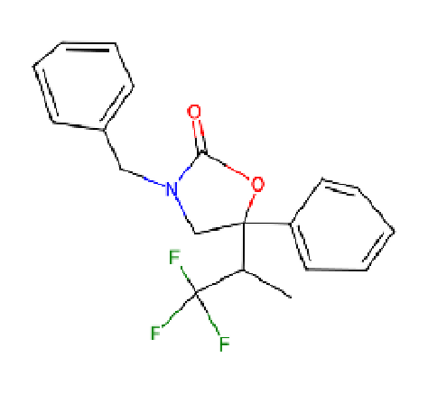 CC(C(F)(F)F)C1(c2ccccc2)CN(Cc2ccccc2)C(=O)O1